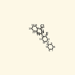 Fc1cc(-c2ccccc2)ccc1-c1nc(Cl)c2ccccc2n1